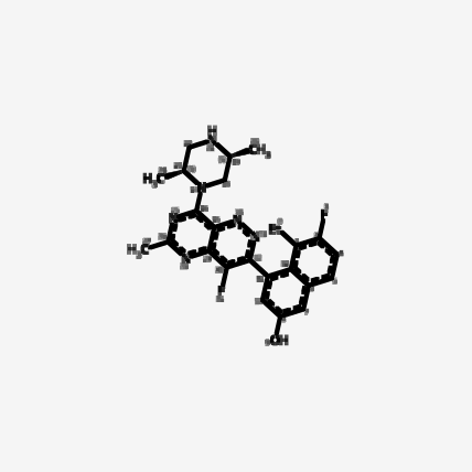 CCc1c(F)ccc2cc(O)cc(-c3nnc4c(N5C[C@H](C)NC[C@@H]5C)nc(C)nc4c3F)c12